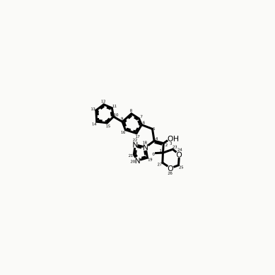 CC1(C(O)=C(Cc2ccc(-c3ccccc3)cc2)n2cncn2)COCOC1